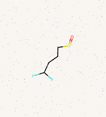 O=[S+]CCCC(F)F